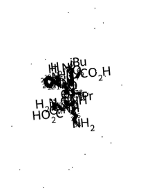 CC[C@H](C)[C@H](N)C(=O)N[C@@H](CCC(=O)O)C(=O)N[C@@H](Cc1c[nH]c2ccccc12)C(=O)N[C@@H](CC(C)C)C(=O)N[C@@H](CCCCN)C(=O)N[C@@H](CC(N)=O)C(=O)O